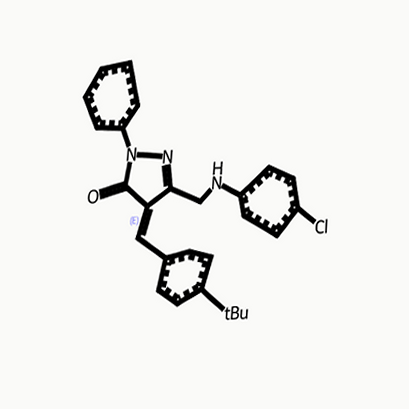 CC(C)(C)c1ccc(/C=C2/C(=O)N(c3ccccc3)N=C2CNc2ccc(Cl)cc2)cc1